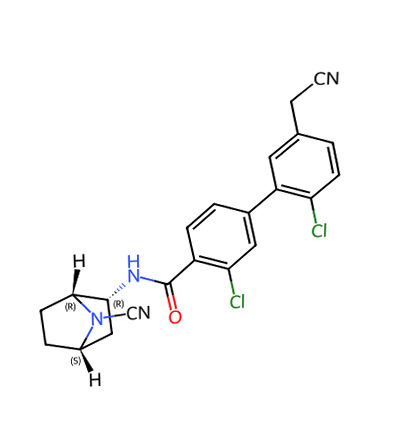 N#CCc1ccc(Cl)c(-c2ccc(C(=O)N[C@@H]3C[C@@H]4CC[C@H]3N4C#N)c(Cl)c2)c1